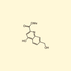 COC(=O)c1cc(O)c2ccc(CO)cc2n1